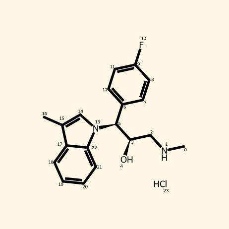 CNC[C@@H](O)[C@H](c1ccc(F)cc1)n1cc(C)c2ccccc21.Cl